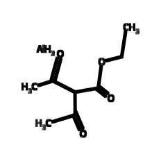 CCOC(=O)C(C(C)=O)C(C)=O.[AlH3]